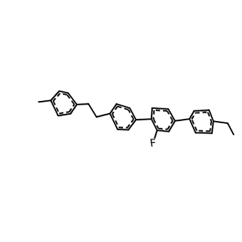 CCc1ccc(-c2ccc(-c3ccc(CCc4ccc(C)cc4)cc3)c(F)c2)cc1